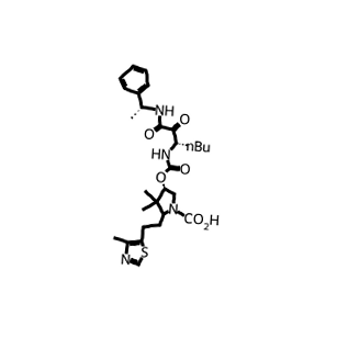 CCCC[C@H](NC(=O)O[C@@H]1CN(C(=O)O)C(CCc2scnc2C)C1(C)C)C(=O)C(=O)N[C@H](C)c1ccccc1